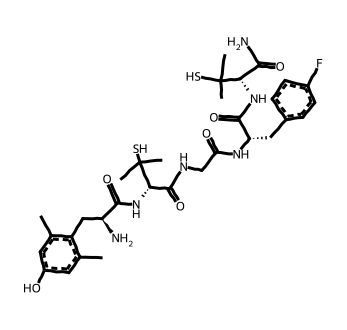 Cc1cc(O)cc(C)c1C[C@H](N)C(=O)N[C@@H](C(=O)NCC(=O)N[C@@H](Cc1ccc(F)cc1)C(=O)N[C@@H](C(N)=O)C(C)(C)S)C(C)(C)S